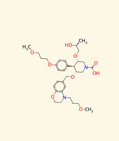 COCCCOc1ccc([C@@H]2[C@@H](OCc3ccc4c(c3)N(CCCOC)CCO4)CN(C(=O)O)C[C@H]2OC[C@H](C)O)cc1